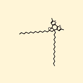 CCCCCCCCCCCCCCCC1(CCCCCCCCCCCCCCC)C(=O)c2cc(C)sc2-c2sc(C)cc21